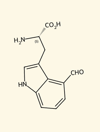 N[C@@H](Cc1c[nH]c2cccc(C=O)c12)C(=O)O